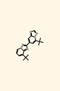 CC(C)(C)c1cccn2nc(-c3cc(C(C)(C)C)n4ncnc4c3)nc12